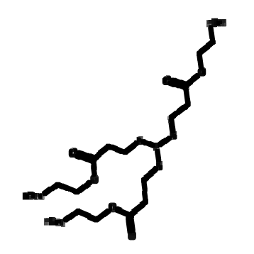 CCCCCCCCCCCCOC(=O)CCSP(SCCC(=O)OCCCCCCCCCCCC)SCCC(=O)OCCCCCCCCCCCC